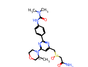 C[C@H]1COCCN1c1cc(C[S+]([O-])CC(N)=O)nc(-c2ccc(NC(=O)N(C)C)cc2)n1